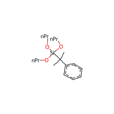 CCCO[Si](OCCC)(OCCC)C(C)(C)c1ccccc1